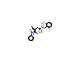 Cc1nn(-c2ccccc2)c(C)c1CC(=O)NCc1c(F)cccc1F